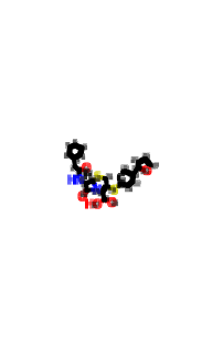 O=C(Cc1ccccc1)N[C@@H]1C(=O)N2C(C(=O)O)=C(Sc3ccc(-c4ccco4)cc3)CS[C@@H]12